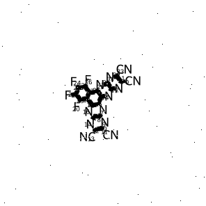 N#Cc1nc2nc3c4nc5nc(C#N)c(C#N)nc5nc4c4c(F)c(F)c(F)c(F)c4c3nc2nc1C#N